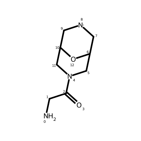 NCC(=O)N1CC2C[N]CC(C1)O2